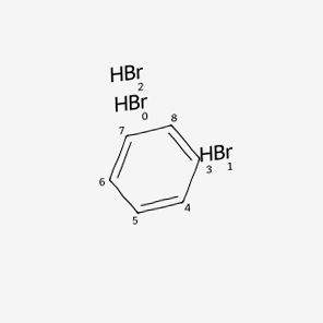 Br.Br.Br.c1ccccc1